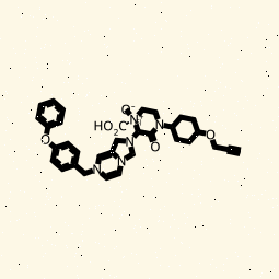 C#CCOC1CCC(N2CC[N@@+]([O-])(C(=O)O)C(N3CC4=CN(Cc5ccc(Oc6ccccc6)cc5)C=CN4C3)C2=O)CC1